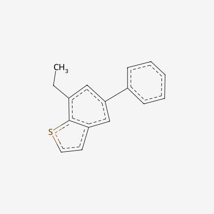 CCc1cc(-c2ccccc2)cc2ccsc12